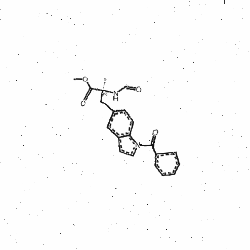 COC(=O)[C@](C)(Cc1ccc2c(ccn2C(=O)c2ccccc2)c1)NC=O